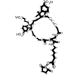 CC1(C)C2=[N+](CCCCCC(=O)NCC(C(=O)NCCCCCC(=O)ON3C(=O)CCC3=O)NC(=O)CCCCCC3(C)/C(=C/C=C/2)N(CCCS(=O)(=O)O)c2ccc(S(=O)(=O)O)cc23)c2ccc(S(=O)(=O)O)cc21